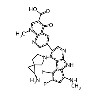 CNc1cc(F)c(F)c2c1[nH]c1ncc(-c3cnc4c(c3)c(=O)c(C(=O)O)cn4C)c(N3CCC4(C[C@@H]4N)C3)c12